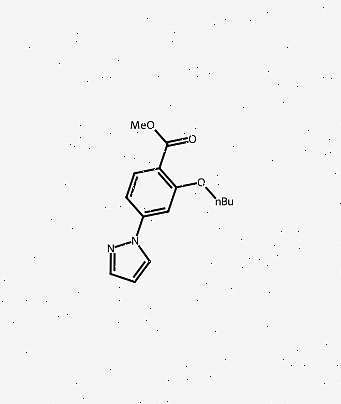 CCCCOc1cc(-n2cccn2)ccc1C(=O)OC